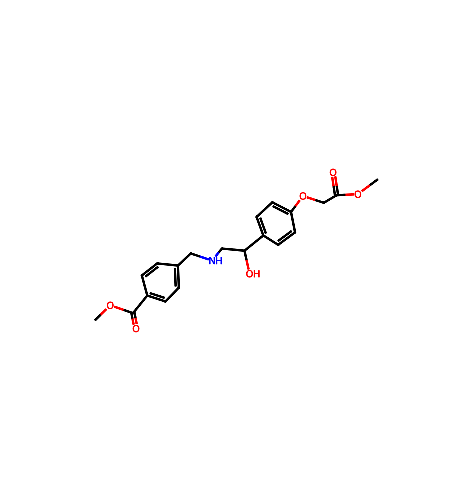 COC(=O)COc1ccc(C(O)CNCc2ccc(C(=O)OC)cc2)cc1